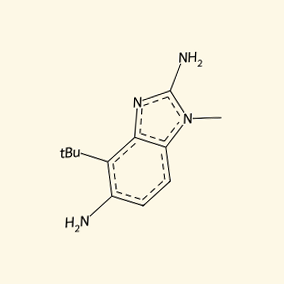 Cn1c(N)nc2c(C(C)(C)C)c(N)ccc21